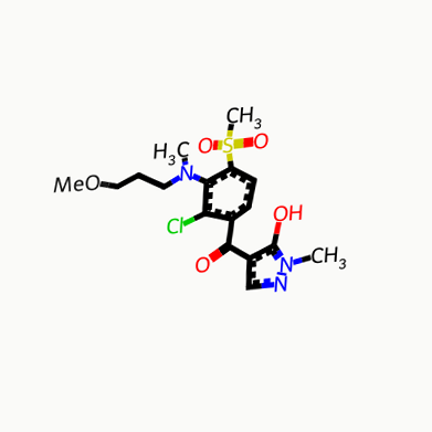 COCCCN(C)c1c(S(C)(=O)=O)ccc(C(=O)c2cnn(C)c2O)c1Cl